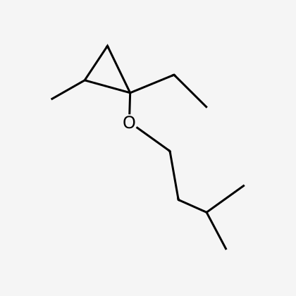 CCC1(OCCC(C)C)CC1C